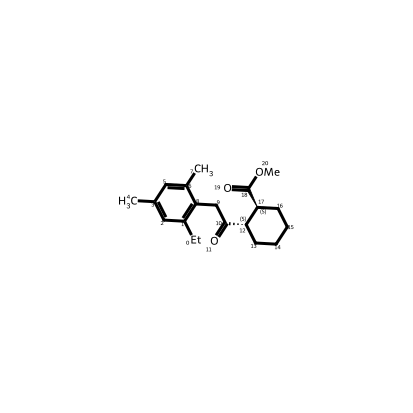 CCc1cc(C)cc(C)c1CC(=O)[C@H]1CCCC[C@@H]1C(=O)OC